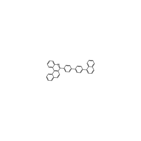 c1ccc2c(-c3ccc(-c4ccc(-c5nc6ccccc6c6c5ccc5ccccc56)cc4)cc3)cccc2c1